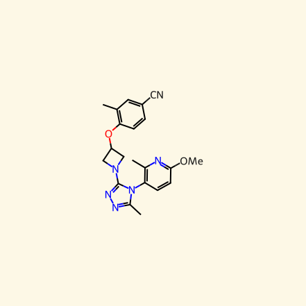 COc1ccc(-n2c(C)nnc2N2CC(Oc3ccc(C#N)cc3C)C2)c(C)n1